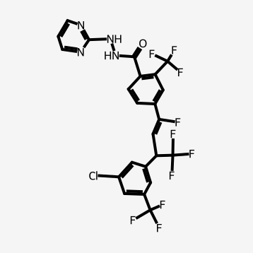 O=C(NNc1ncccn1)c1ccc(C(F)=CC(c2cc(Cl)cc(C(F)(F)F)c2)C(F)(F)F)cc1C(F)(F)F